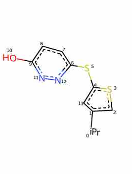 CC(C)c1csc(Sc2ccc(O)nn2)c1